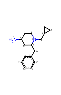 NC1CCN(CC2CC2)C(Cc2ccccc2)C1